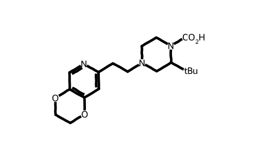 CC(C)(C)C1CN(CCc2cc3c(cn2)OCCO3)CCN1C(=O)O